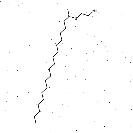 CCCCCCCCCCCCCCCCCCN(C)SCCN